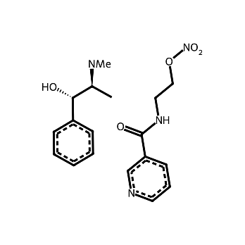 CN[C@@H](C)[C@@H](O)c1ccccc1.O=C(NCCO[N+](=O)[O-])c1cccnc1